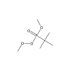 COOP(=O)(OC)C(C)(C)C